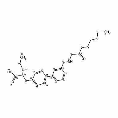 CCCCCCC(=O)CNCc1cccc(-c2ccc(CC(OCC)C(=O)O)cn2)c1